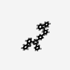 c1ccc(-c2nc(-c3ccc(-c4cccc(-n5c6ccccc6c6ccccc65)c4)cc3)nc(-c3cccc4c3oc3ccccc34)n2)cc1